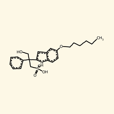 CCCCCCOc1ccc2[nH]c(C(CO)(CS(=O)(=O)O)c3ccccc3)cc2c1